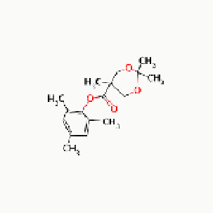 Cc1cc(C)c(OC(=O)C2(C)COC(C)(C)OC2)c(C)c1